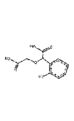 O=C(O)COC(C(=O)O)c1ccccc1O